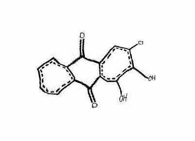 O=C1c2ccccc2C(=O)c2c1cc(Cl)c(O)c2O